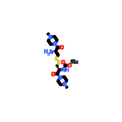 CN1CCN(C(=O)[C@H](CSSC[C@H](N)C(=O)N2CCN(C)CC2)NC(=O)OC(C)(C)C)CC1